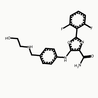 NC(=O)c1nc(-c2c(F)cccc2F)oc1Nc1ccc(CNCCO)cc1